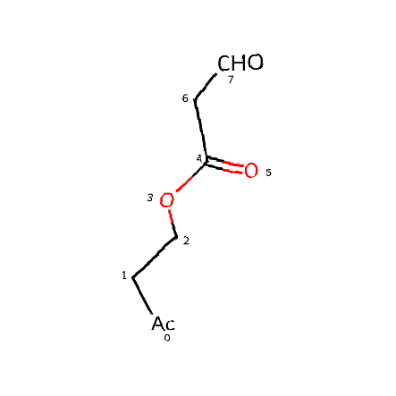 CC(=O)CCOC(=O)CC=O